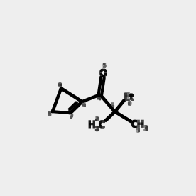 CCC(C)(C)C(=O)C1=CCC1